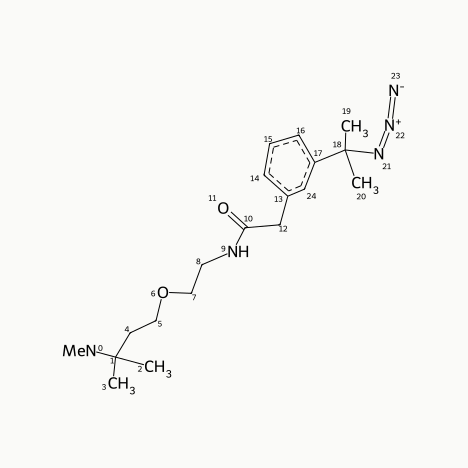 CNC(C)(C)CCOCCNC(=O)Cc1cccc(C(C)(C)N=[N+]=[N-])c1